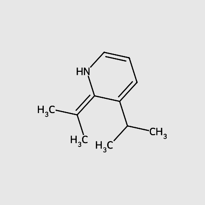 CC(C)=C1NC=CC=C1C(C)C